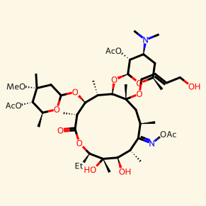 CC[C@H]1OC(=O)[C@H](C)[C@@H](OC2C[C@@](C)(OC)[C@@H](OC(C)=O)[C@H](C)O2)[C@H](C)[C@@H](O[C@@H]2O[C@H](C)C[C@H](N(C)C)[C@H]2OC(C)=O)[C@](C)(OC/C=C/CO)C[C@@H](C)/C(=N\OC(C)=O)[C@H](C)[C@@H](O)[C@]1(C)O